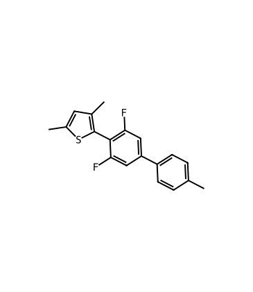 Cc1ccc(-c2cc(F)c(-c3sc(C)cc3C)c(F)c2)cc1